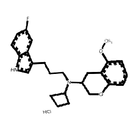 COc1cccc2c1CC(N(CCCc1c[nH]c3ccc(F)cc13)C1CCC1)CO2.Cl